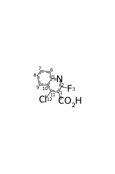 O=C(O)c1c(F)nc2ccccc2c1Cl